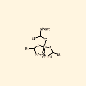 CCCCCC(CC)OP(=O)(OC(CC)CCCCC)SC(CC)CCCCC